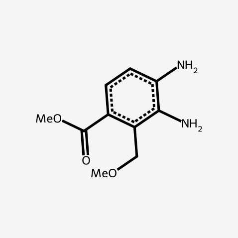 COCc1c(C(=O)OC)ccc(N)c1N